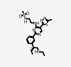 C/C=C(\CNCC)c1cccc(-c2ncc(-c3nnc(C)s3)c(NCCNS(C)(=O)=O)n2)c1